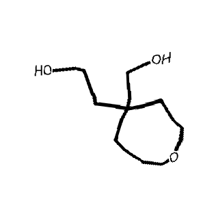 OCCC1(CO)CCOCC1